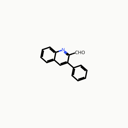 O=Cc1nc2ccccc2cc1-c1ccccc1